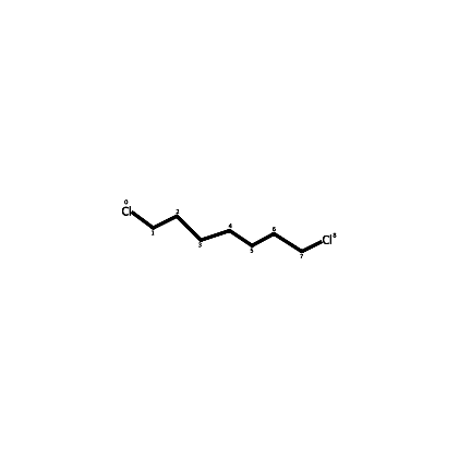 ClCCCCCCCCl